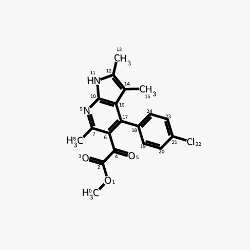 COC(=O)C(=O)c1c(C)nc2[nH]c(C)c(C)c2c1-c1ccc(Cl)cc1